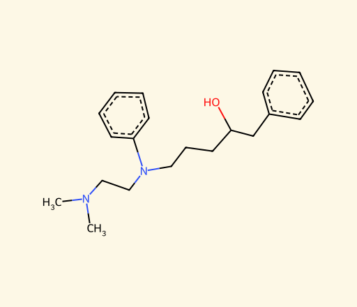 CN(C)CCN(CCCC(O)Cc1ccccc1)c1ccccc1